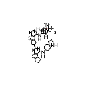 CN(C)[C@@H]1C[C@@H]2C(Nc3ncnc4sc5c(c34)CC(c3nc(NC4CCC6(CCCN6)CC4)c4c6c(sc4n3)CCC6)C5)[C@H](C1)N2CC(F)(F)F